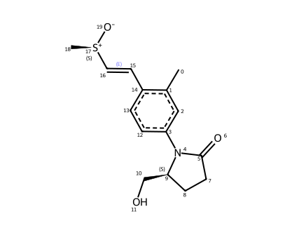 Cc1cc(N2C(=O)CC[C@H]2CO)ccc1/C=C/[S@@+](C)[O-]